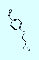 [CH2]CCOc1ccc(C=O)cc1